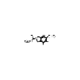 Cc1c(C=O)nc2c(c1C)CN(C(=O)OC(C)(C)C)C2